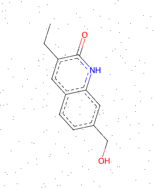 CCc1cc2ccc(CO)cc2[nH]c1=O